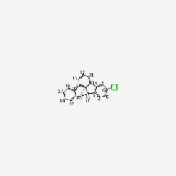 CC1(C)c2ccc(Cl)cc2-c2cccc(-c3ccccc3)c21